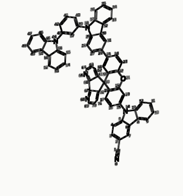 N#Cc1ccc2c(c1)c1ccccc1n2-c1ccc2c(c1)Oc1ccc(-c3ccc4c(c3)c3ccccc3n4-c3cccc(-n4c5ccccc5c5ccccc54)c3)cc1C21c2cccnc2-c2ncccc21